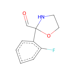 O=CC1(c2ccccc2F)NCCO1